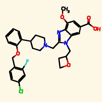 COc1cc(C(=O)O)cc2c1nc(CN1CCC(c3ccccc3OCc3ccc(Cl)cc3F)CC1)n2CC1CCO1